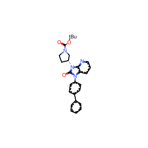 CC(C)(C)OC(=O)N1CC[C@@H](n2c(=O)n(-c3ccc(-c4ccccc4)cc3)c3cccnc32)C1